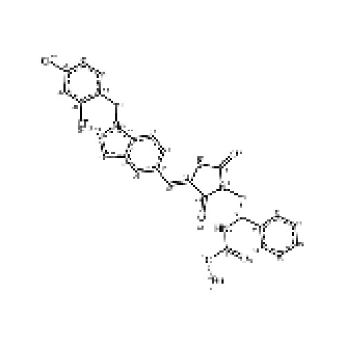 CC(C)(C)OC(=O)N[C@H](CN1C(=O)S/C(=C\c2ccc3c(cnn3Cc3ccc(Cl)cc3C(F)(F)F)c2)C1=O)c1ccccc1